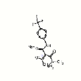 C/C([O-])=C(/C(=O)Nc1ccc(C(F)(F)F)cc1)C(=O)N(C)C.[Na+]